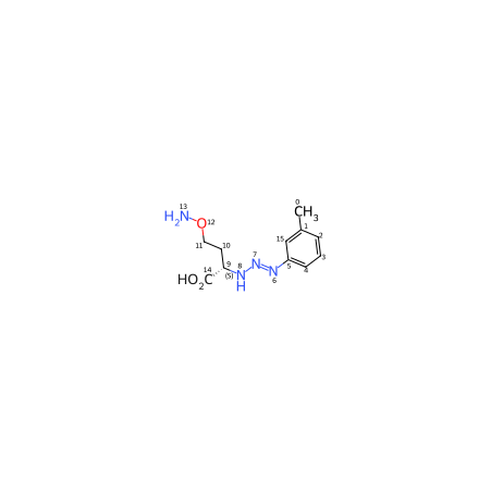 Cc1cccc(N=NN[C@@H](CCON)C(=O)O)c1